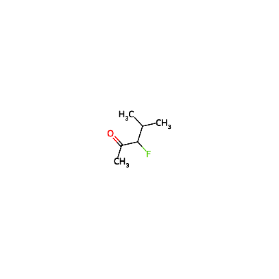 CC(=O)C(F)C(C)C